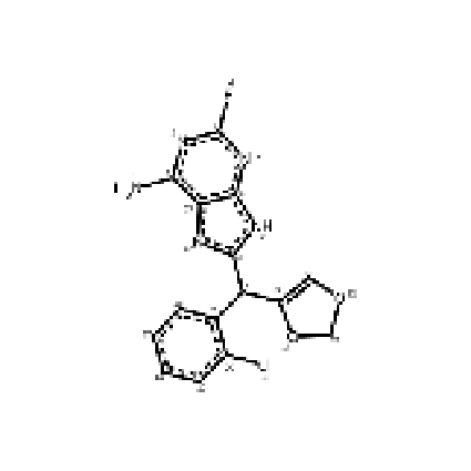 Nc1nc(F)nc2[nH]c(C(C3=COCO3)c3ccccc3Cl)nc12